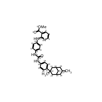 COC(=O)c1cccnc1Nc1ccc(NC(=O)Nc2ccc(C3(C)CC4CC(C)CC(C4)C3)cc2)cc1